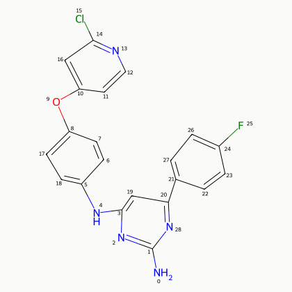 Nc1nc(Nc2ccc(Oc3ccnc(Cl)c3)cc2)cc(-c2ccc(F)cc2)n1